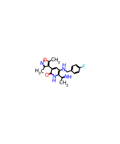 CC(=N)c1[nH]c(=O)c(-c2c(C)noc2C)cc1NCc1ccc(F)cc1